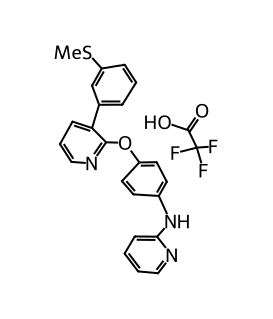 CSc1cccc(-c2cccnc2Oc2ccc(Nc3ccccn3)cc2)c1.O=C(O)C(F)(F)F